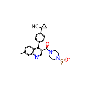 Cc1ccc2c(-c3ccc(C4(C#N)CC4)cc3)c(C(=O)N3CCN([S+](C)[O-])CC3)cnc2c1